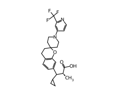 C[C@H](C(=O)O)C(c1ccc2c(c1)OC1(CC2)CCN(c2ccnc(C(F)(F)F)c2)CC1)C1CC1